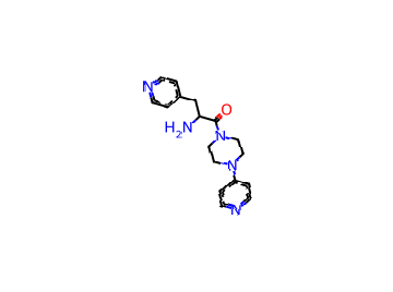 NC(Cc1ccncc1)C(=O)N1CCN(c2ccncc2)CC1